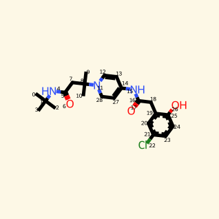 CC(C)(C)NC(=O)CC(C)(C)N1C=CC(NC(=O)Cc2cc(Cl)ccc2O)=CC1